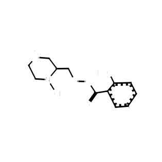 Cc1ccccc1C(=O)OOCC1COCCN1C